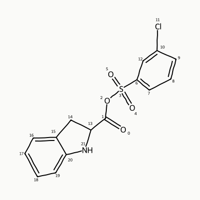 O=C(OS(=O)(=O)c1cccc(Cl)c1)C1Cc2ccccc2N1